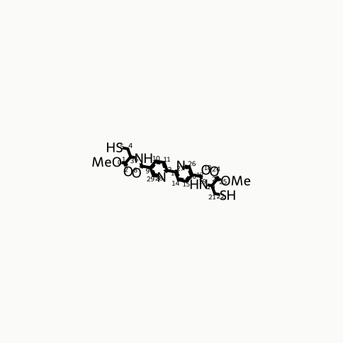 COC(=O)C(CS)NC(=O)c1ccc(-c2ccc(C(=O)NC(CS)C(=O)OC)cn2)nc1